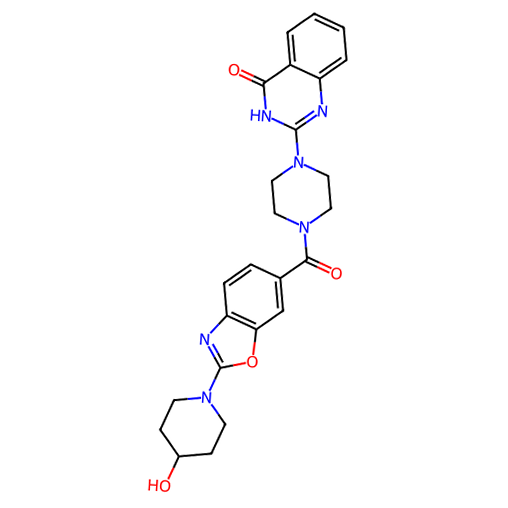 O=C(c1ccc2nc(N3CCC(O)CC3)oc2c1)N1CCN(c2nc3ccccc3c(=O)[nH]2)CC1